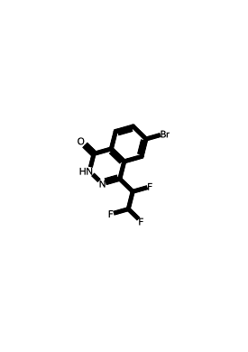 O=c1[nH]nc(C(F)C(F)F)c2cc(Br)ccc12